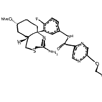 CO[C@@H]1CC[C@]2(c3cc(NC(=O)c4cnc(OCF)cn4)ccc3F)N=C(N)SC[C@@H]2C1